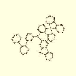 CC1(C)c2ccccc2-c2ccc(N(c3cccc(-c4ccccc4-c4ccccc4)c3)c3cccc4c3-c3ccccc3C43c4ccccc4-c4ccccc43)cc21